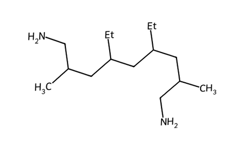 CCC(CC(C)CN)CC(CC)CC(C)CN